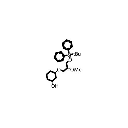 CO[C@H](CO[C@H]1CCC[C@@H](O)C1)CO[Si](c1ccccc1)(c1ccccc1)C(C)(C)C